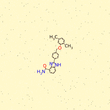 Cc1ccc(C)c(OCc2ccc(-c3nc4c(C(N)=O)cccc4[nH]3)cc2)c1